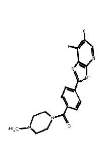 CN1CCN(C(=O)c2ccc(-c3nc4c(I)c(F)cnc4[nH]3)cc2)CC1